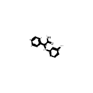 O=C(O)C(Sc1cccc(F)c1)c1ccccc1